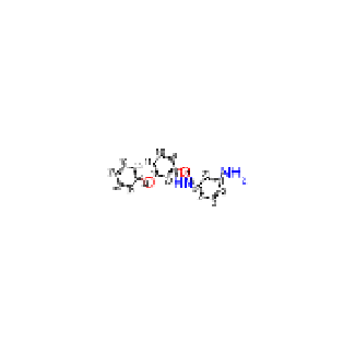 Nc1cccc(NOc2cccc(Oc3ccccc3)c2)c1